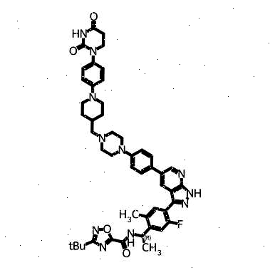 Cc1cc(-c2n[nH]c3ncc(-c4ccc(N5CCN(CC6CCN(c7ccc(N8CCC(=O)NC8=O)cc7)CC6)CC5)cc4)cc23)c(F)cc1[C@@H](C)NC(=O)c1nc(C(C)(C)C)no1